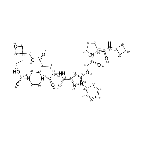 CCC1(COC(=O)CC[C@H](NC(=O)c2cc(OCC(=O)N3CCC[C@H]3C(=O)NC3CCC3)n(-c3ccccc3)n2)C(=O)N2CCN(C(=O)O)CC2)COC1